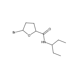 CCC(CC)NC(=O)C1CCC(Br)O1